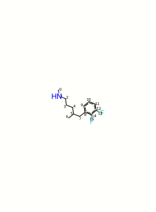 CNCCCC(C)Cc1cccc(F)c1F